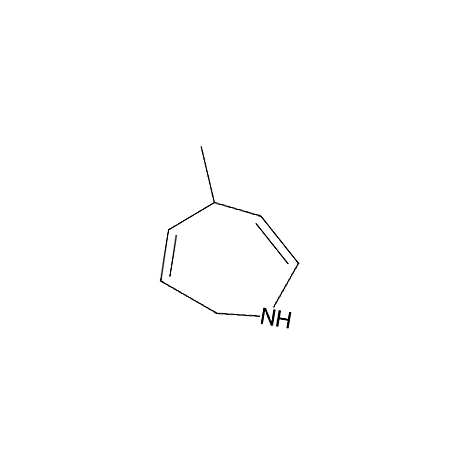 CC1C=CCNC=C1